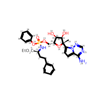 CCOC(=O)[C@H](CCc1ccccc1)NP(=O)(OC[C@H]1O[C@@](C)(c2ccc3c(N)ncnn23)[C@H](O)[C@@H]1O)Oc1ccccc1